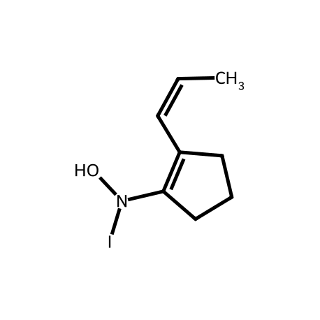 C/C=C\C1=C(N(O)I)CCC1